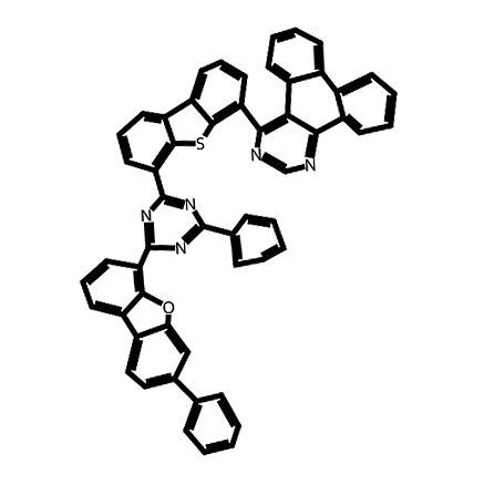 c1ccc(-c2ccc3c(c2)oc2c(-c4nc(-c5ccccc5)nc(-c5cccc6c5sc5c(-c7ncnc8c9ccccc9c9ccccc9c78)cccc56)n4)cccc23)cc1